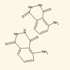 Nc1cccc2c(=O)[nH][nH]c(=O)c12.Nc1cccc2c(=O)[nH][nH]c(=O)c12